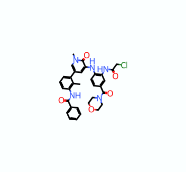 Cc1c(NC(=O)c2ccccc2)cccc1-c1cc(Nc2ccc(C(=O)N3CCOCC3)cc2NC(=O)CCl)c(=O)n(C)c1